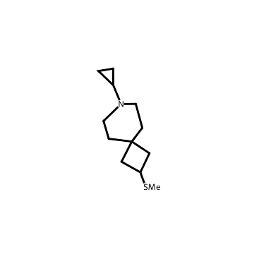 CSC1CC2(CCN(C3CC3)CC2)C1